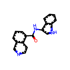 O=C(Nc1c[nH]c2ccccc12)c1cccc2cnccc12